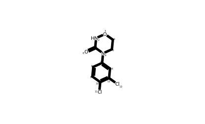 O=C1NOCCN1c1ccc(Cl)c(Cl)c1